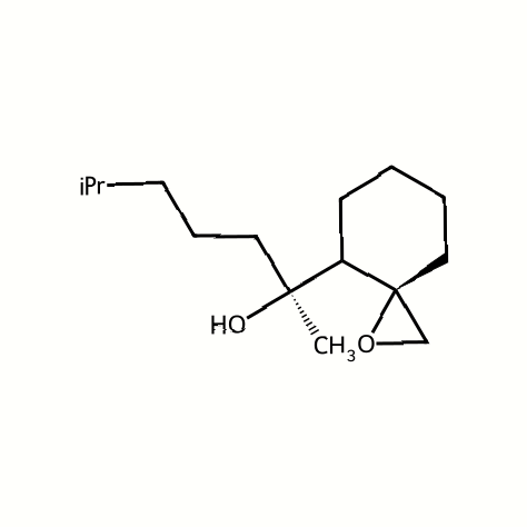 CC(C)CCC[C@](C)(O)C1CCCC[C@]12CO2